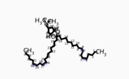 CCCC/C=C\C/C=C\CCCCCCCCC1(CCCCCCCC/C=C\C/C=C\CCCCC)O[C@H]2CC(CN(C)C)C[C@H]2O1